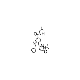 CC(C)CNC(=O)c1ccc2c(-c3ccc(=O)n(C(C)C)n3)c(-c3ccccc3)nn2c1